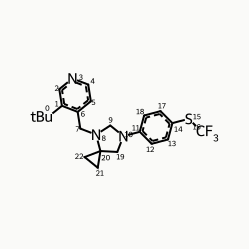 CC(C)(C)c1cnccc1CN1CN(c2ccc(SC(F)(F)F)cc2)CC12CC2